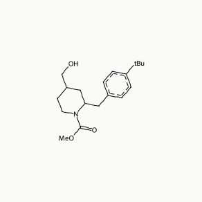 COC(=O)N1CCC(CO)CC1Cc1ccc(C(C)(C)C)cc1